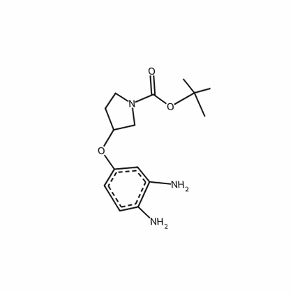 CC(C)(C)OC(=O)N1CCC(Oc2ccc(N)c(N)c2)C1